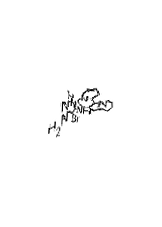 CC(Nc1ncnc(N)c1Br)c1cc2ccccn2c1-c1ccccn1